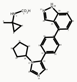 CC1(NC(=O)O)CC1.c1cc(-c2ccc(-c3cncn3C3CCCC3)cc2)c2cn[nH]c2c1